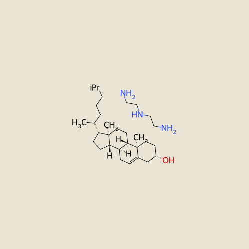 CC(C)CCCC(C)[C@H]1CC[C@H]2[C@@H]3CC=C4C[C@@H](O)CC[C@]4(C)[C@H]3CC[C@]12C.NCCNCCN